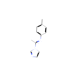 C/C(=N\c1ccc(C)cc1)n1ccnc1